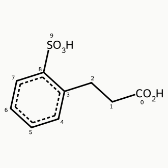 O=C(O)CCc1ccccc1S(=O)(=O)O